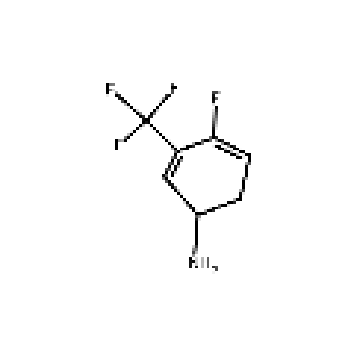 NC1C=C(C(F)(F)F)C(F)=CC1